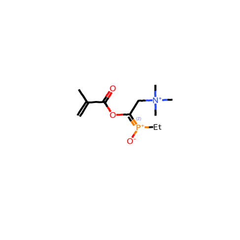 C=C(C)C(=O)O/C(C[N+](C)(C)C)=[P+](\[O-])CC